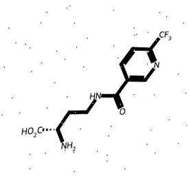 N[C@@H](CCNC(=O)c1ccc(C(F)(F)F)nc1)C(=O)O